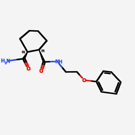 NC(=O)[C@H]1CCCC[C@H]1C(=O)NCCOc1ccccc1